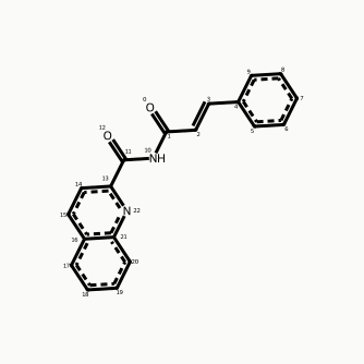 O=C(C=Cc1ccccc1)NC(=O)c1ccc2ccccc2n1